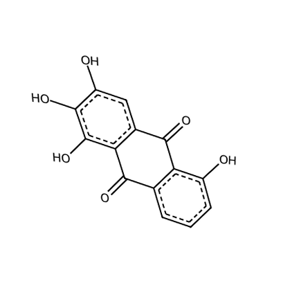 O=C1c2cc(O)c(O)c(O)c2C(=O)c2cccc(O)c21